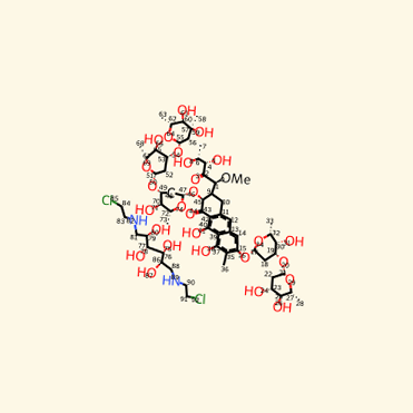 CO[C@H](C(=O)[C@@H](O)[C@@H](C)O)C1Cc2cc3cc(O[C@H]4C[C@@H](O[C@H]5C[C@@H](O)[C@H](O)[C@@H](C)O5)[C@@H](O)[C@@H](C)O4)c(C)c(O)c3c(O)c2C(=O)[C@H]1O[C@H]1C[C@@H](O[C@H]2C[C@@H](O[C@H]3C[C@](C)(O)[C@H](O)[C@@H](C)O3)[C@H](O)[C@@H](C)O2)[C@H](O)[C@@H](C)O1.O[C@@H]([C@H](O)[C@H](O)CNCCCl)[C@H](O)CNCCCl